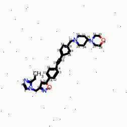 CCc1nccn1Cc1cc(-c2ccc(C#Cc3ccc(CN4CCC(N5CCOCC5)CC4)cc3)cc2)on1